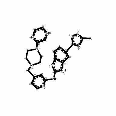 Cc1noc(-c2ccc3nc(Nc4cc(CN5CCN(c6cnccn6)CC5)ccn4)[nH]c3c2)n1